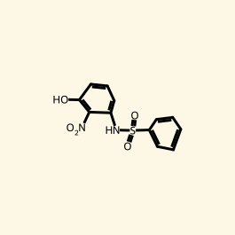 O=[N+]([O-])c1c(O)cccc1NS(=O)(=O)c1ccccc1